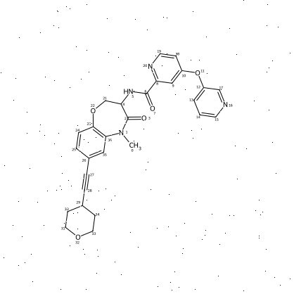 CN1C(=O)C(NC(=O)c2cc(Oc3cccnc3)ccn2)COc2ccc(C#CC3CCOCC3)cc21